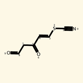 N#CSC=CC(=O)CC=O